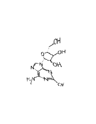 N#Cc1nc(N)c2ncn([C@@H]3O[C@H](CO)[C@@H](O)[C@H]3O)c2n1